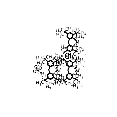 CC(C)(C)c1cc2c(c(C(C)(C)C)c1)[O][Al+][O]c1c(cc(C(C)(C)C)cc1C(C)(C)C)C2.CC(C)(C)c1cc2c(c(C(C)(C)C)c1)[O][Al+][O]c1c(cc(C(C)(C)C)cc1C(C)(C)C)C2.CC(C)(C)c1cc2c(c(C(C)(C)C)c1)[O][Al+][O]c1c(cc(C(C)(C)C)cc1C(C)(C)C)C2.O=P([O-])([O-])[O-]